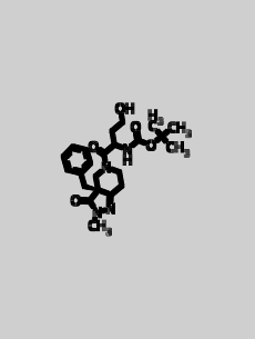 CN1N=C2CCN(C(=O)C(CCO)NC(=O)OC(C)(C)C)C[C@@]2(Cc2ccccc2)C1=O